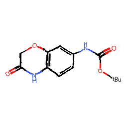 CC(C)(C)OC(=O)Nc1ccc2c(c1)OCC(=O)N2